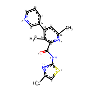 Cc1csc(NC(=O)c2nc(C)cc(-c3cccnc3)c2C)n1